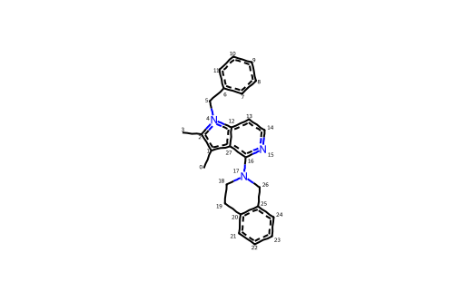 Cc1c(C)n(Cc2ccccc2)c2ccnc(N3CCc4ccccc4C3)c12